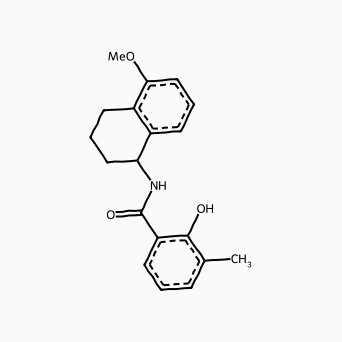 COc1cccc2c1CCCC2NC(=O)c1cccc(C)c1O